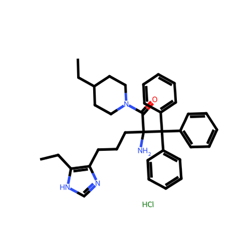 CCc1[nH]cnc1CCCC(N)(C(=O)N1CCC(CC)CC1)C(c1ccccc1)(c1ccccc1)c1ccccc1.Cl